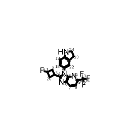 FC1CC(c2nc3ccc(C(F)(F)F)nc3n2-c2ccc3c(c2)CCN3)C1